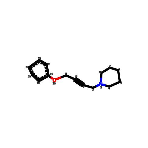 C(#CCN1CCCCC1)COc1ccccc1